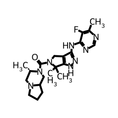 Cc1ncnc(Nc2n[nH]c3c2CN(C(=O)N2CC4CCCN4C[C@@H]2C)C3(C)C)c1F